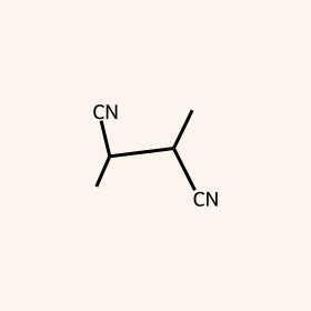 CC(C#N)C(C)C#N